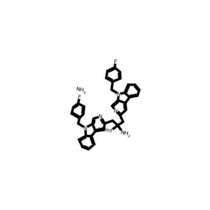 CCCCCC(N)(Cc1cc2c3ccccc3n(Cc3ccc(F)cc3)c2cn1)Cc1cc2c3ccccc3n(Cc3ccc(F)cc3)c2cn1.N